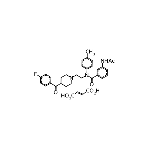 CC(=O)Nc1cccc(C(=O)N(CCN2CCC(C(=O)c3ccc(F)cc3)CC2)c2ccc(C)cc2)c1.O=C(O)C=CC(=O)O